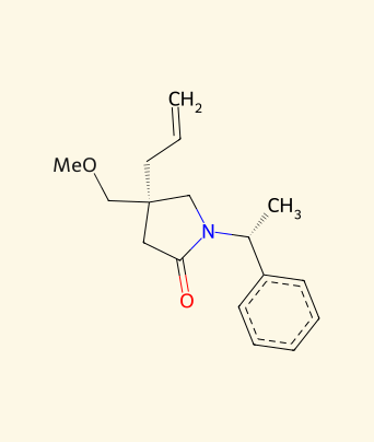 C=CC[C@@]1(COC)CC(=O)N([C@H](C)c2ccccc2)C1